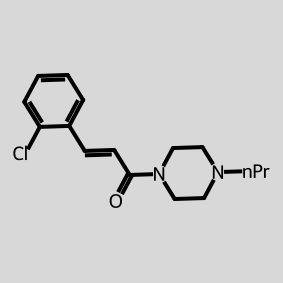 CCCN1CCN(C(=O)C=Cc2ccccc2Cl)CC1